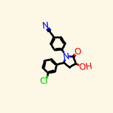 N#Cc1ccc(N2C(=O)C(O)CC2c2cccc(Cl)c2)cc1